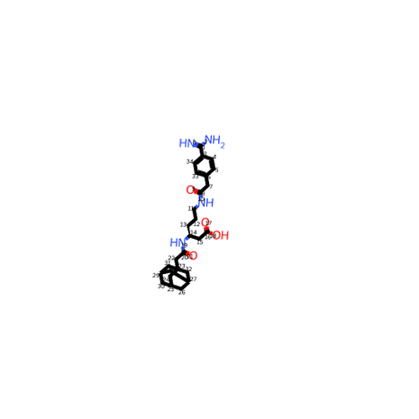 N=C(N)c1ccc(CC(=O)NCCC[C@@H](CC(=O)O)NC(=O)CC23CC4CC(CC(C4)C2)C3)cc1